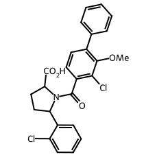 COc1c(-c2ccccc2)ccc(C(=O)N2C(C(=O)O)CCC2c2ccccc2Cl)c1Cl